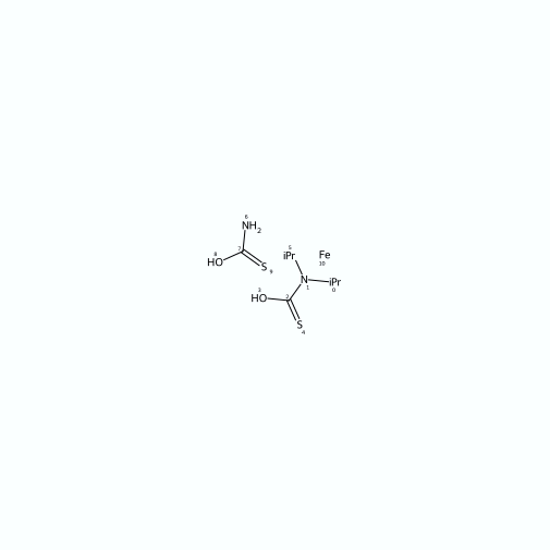 CC(C)N(C(O)=S)C(C)C.NC(O)=S.[Fe]